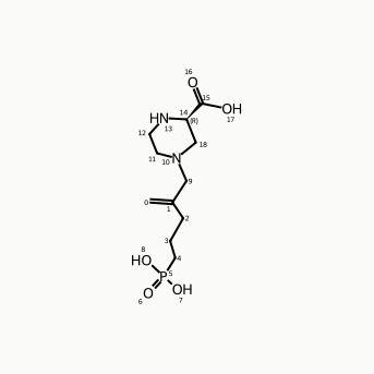 C=C(CCCP(=O)(O)O)CN1CCN[C@@H](C(=O)O)C1